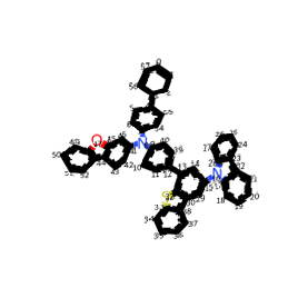 C1=CCC(c2ccc(N(c3ccc(-c4cc(-n5c6ccccc6c6ccccc65)cc5c4sc4ccccc45)cc3)c3ccc4c(c3)oc3ccccc34)cc2)C=C1